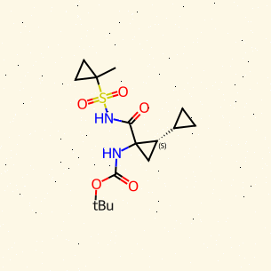 CC(C)(C)OC(=O)NC1(C(=O)NS(=O)(=O)C2(C)CC2)C[C@H]1C1CC1